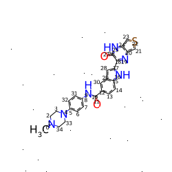 CN1CCN(c2ccc(NC(=O)c3ccc4[nH]c(-c5nc6cscc6[nH]c5=O)cc4c3)cc2)CC1